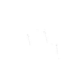 CC/N=C\N(C)CC(F)F